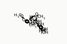 COCCOc1ccc(N(C)C(=O)[C@@H]2CC[C@@H]3CCN(C(C)=O)CC(NC(=O)c4cc5cc(C(F)(F)P(=O)(O)O)ccc5[nH]4)C(=O)N32)cc1